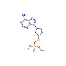 CCOP(=O)(CO[C@@H]1C=C[C@H](n2cnc3c(N)ncnc32)C1)OCC